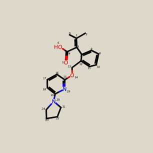 CC(C)=C(C(=O)O)c1ccccc1COc1cccc(N2CCCC2)n1